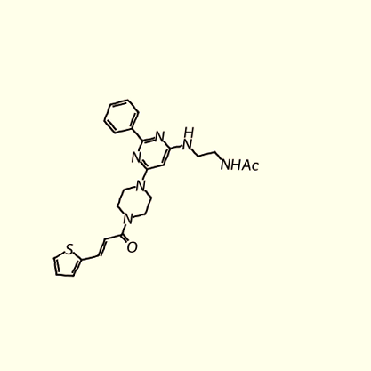 CC(=O)NCCNc1cc(N2CCN(C(=O)/C=C/c3cccs3)CC2)nc(-c2ccccc2)n1